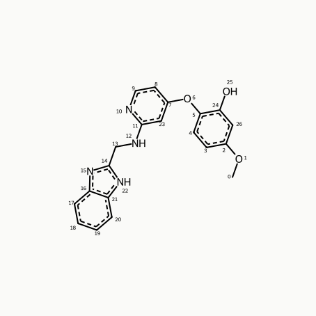 COc1ccc(Oc2ccnc(NCc3nc4ccccc4[nH]3)c2)c(O)c1